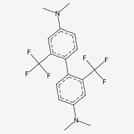 CN(C)c1ccc(-c2ccc(N(C)C)cc2C(F)(F)F)c(C(F)(F)F)c1